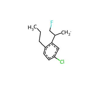 [CH2]C(CF)c1cc(Cl)ccc1CCC